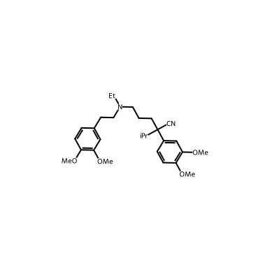 CCN(CCCC(C#N)(c1ccc(OC)c(OC)c1)C(C)C)CCc1ccc(OC)c(OC)c1